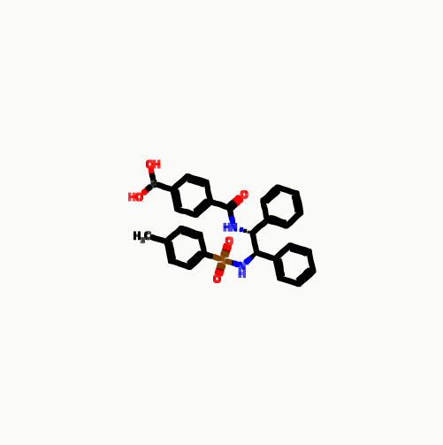 Cc1ccc(S(=O)(=O)N[C@H](c2ccccc2)[C@H](NC(=O)c2ccc(B(O)O)cc2)c2ccccc2)cc1